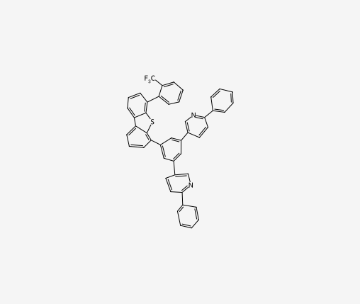 FC(F)(F)c1ccccc1-c1cccc2c1sc1c(-c3cc(-c4ccc(-c5ccccc5)nc4)cc(-c4ccc(-c5ccccc5)nc4)c3)cccc12